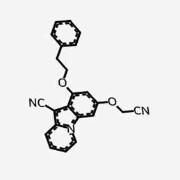 N#CCOc1cc(OCCc2ccccc2)c2c(C#N)c3ccccn3c2c1